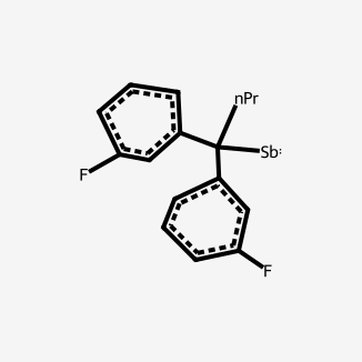 CCC[C]([Sb])(c1cccc(F)c1)c1cccc(F)c1